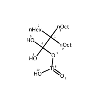 CCCCCCCCC(CCCCCC)(CCCCCCCC)C(O)(O)[O][Ti](=[O])[OH]